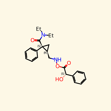 CCN(CC)C(=O)[C@@]1(c2ccccc2)C[C@H]1CNOC(=O)[C@@H](O)c1ccccc1